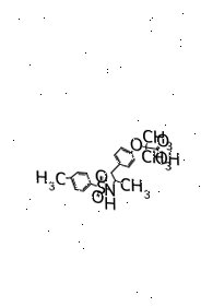 Cc1ccc(S(=O)(=O)NC(C)Cc2ccc(OC(C)(C)C(=O)O)cc2)cc1